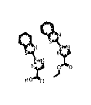 CCOC(=O)c1cnn(-c2nc3ccccc3s2)n1.O=C(O)c1cnn(-c2nc3ccccc3s2)n1